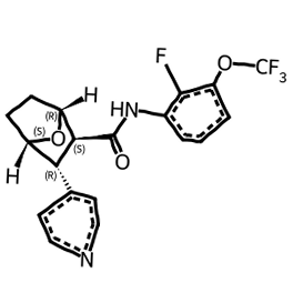 O=C(Nc1cccc(OC(F)(F)F)c1F)[C@H]1[C@H](c2ccncc2)[C@@H]2CC[C@H]1O2